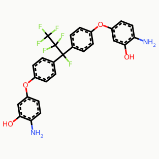 Nc1ccc(Oc2ccc(C(F)(c3ccc(Oc4ccc(N)c(O)c4)cc3)C(F)(F)C(F)(F)F)cc2)cc1O